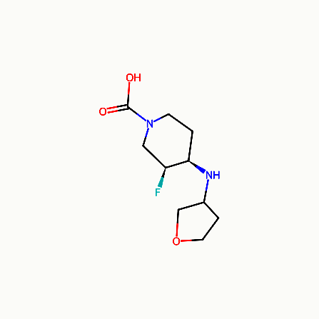 O=C(O)N1CC[C@@H](NC2CCOC2)[C@@H](F)C1